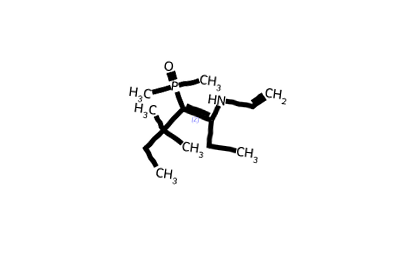 C=CN/C(CC)=C(/C(C)(C)CC)P(C)(C)=O